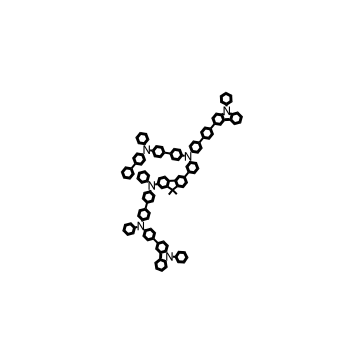 CC1(C)c2ccc(-c3cccc(N(c4ccc(-c5ccc(-c6ccc7c(c6)c6ccccc6n7-c6ccccc6)cc5)cc4)c4ccc(-c5ccc(N(c6ccccc6)c6ccc(-c7ccccc7)cc6)cc5)cc4)c3)cc2-c2ccc(N(c3ccccc3)c3ccc(-c4ccc(N(c5ccccc5)c5ccc(-c6ccc7c(c6)c6ccccc6n7-c6ccccc6)cc5)cc4)cc3)cc21